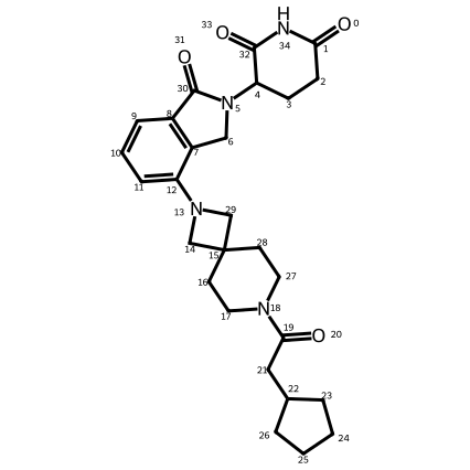 O=C1CCC(N2Cc3c(cccc3N3CC4(CCN(C(=O)CC5CCCC5)CC4)C3)C2=O)C(=O)N1